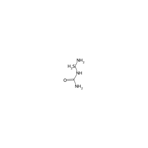 N[SiH2]NC(N)=O